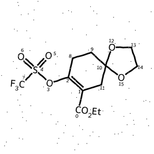 CCOC(=O)C1=C(OS(=O)(=O)C(F)(F)F)CCC2(C1)OCCO2